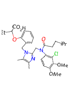 CCC(Oc1ccccc1Cn1c(CN(C(=O)CCC(C)C)c2ccc(OC)c(OC)c2Cl)nc(C)c1C)C(=O)O